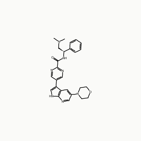 CN(C)C[C@H](NC(=O)c1ncc(-c2c[nH]c3ncc(N4CCOCC4)cc23)cn1)c1ccccc1